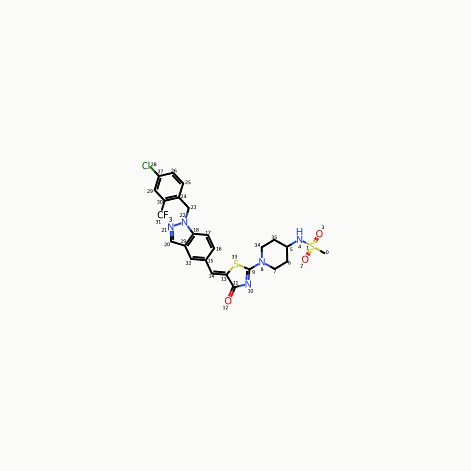 CS(=O)(=O)NC1CCN(C2=NC(=O)/C(=C/c3ccc4c(cnn4Cc4ccc(Cl)cc4C(F)(F)F)c3)S2)CC1